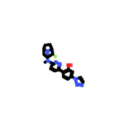 CN(c1ccc(-c2ccc(-n3ccnn3)cc2O)nn1)[C@H]1CC2CCC(N2)[C@@H]1F